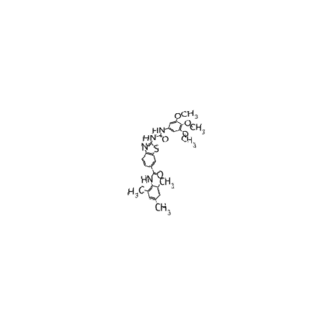 COc1cc(NC(=O)Nc2nc3ccc(C(=O)Nc4c(C)cc(C)cc4C)cc3s2)cc(OC)c1OC